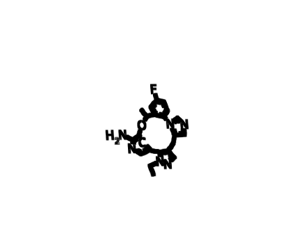 CCn1ncc2c1-c1cnc(N)c(c1)OC(C)c1cc(F)ccc1-n1cncc1C2